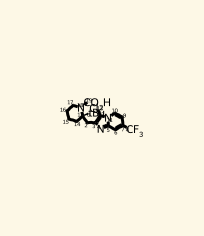 CC(C)(C)[C@@]1(Cc2nc3cc(C(F)(F)F)ccn3c2Cl)CCCCN1C(=O)O